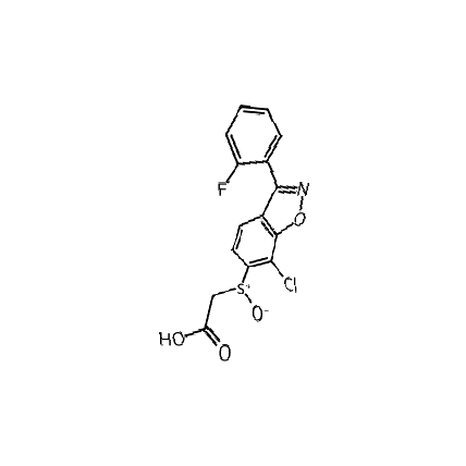 O=C(O)C[S+]([O-])c1ccc2c(-c3ccccc3F)noc2c1Cl